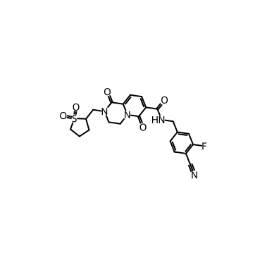 N#Cc1ccc(CNC(=O)c2ccc3n(c2=O)CCN(CC2CCCS2(=O)=O)C3=O)cc1F